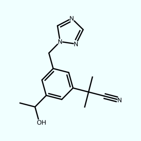 CC(O)c1cc(Cn2cncn2)cc(C(C)(C)C#N)c1